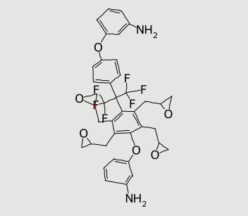 Nc1cccc(Oc2ccc(C(c3c(CC4CO4)c(CC4CO4)c(Oc4cccc(N)c4)c(CC4CO4)c3CC3CO3)(C(F)(F)F)C(F)(F)F)cc2)c1